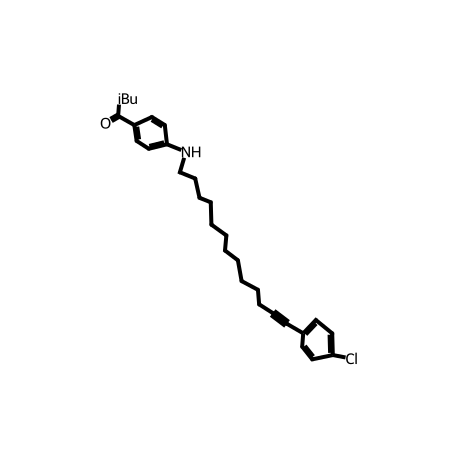 CCC(C)C(=O)c1ccc(NCCCCCCCCCCCC#Cc2ccc(Cl)cc2)cc1